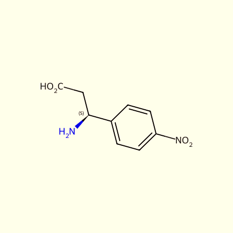 N[C@@H](CC(=O)O)c1ccc([N+](=O)[O-])cc1